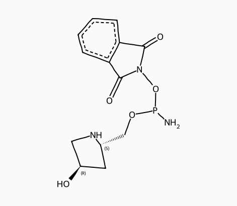 NP(OC[C@@H]1C[C@@H](O)CN1)ON1C(=O)c2ccccc2C1=O